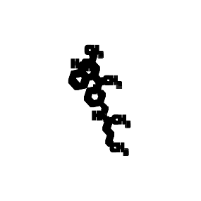 C=C(/C=C(/C(=C)N1CCC[C@H](CN/C(C)=C/CCC)C1)c1ccccc1C)CC